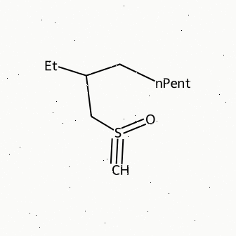 C#S(=O)CC(CC)CCCCCC